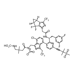 CC(C)(CNC(=O)O)CC(=O)N(Cc1nn(CC(F)(F)F)c2c(-c3ccc(C#CC(C)(C)S(C)(=O)=O)nc3[C@H](Cc3cc(F)cc(F)c3)NC(=O)Cn3nc(C(F)(F)F)c4c3C(F)(F)[C@@H]3C[C@H]43)ccc(Cl)c12)[SH](=O)=O